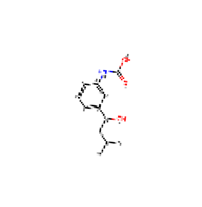 CC(C)CC(O)c1cccc(NC(=O)O)c1